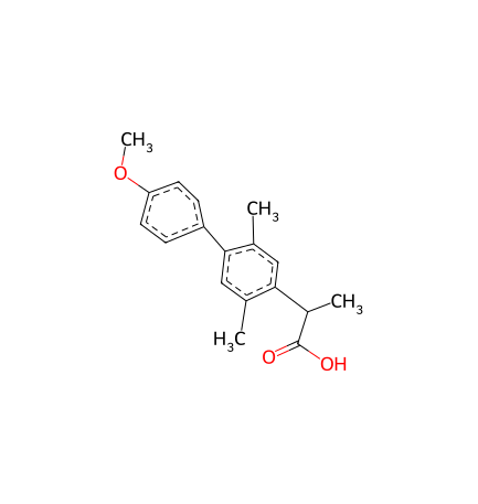 COc1ccc(-c2cc(C)c(C(C)C(=O)O)cc2C)cc1